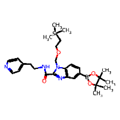 CC1(C)OB(c2ccc3c(c2)nc(C(=O)NCCc2ccncc2)n3COCC[Si](C)(C)C)OC1(C)C